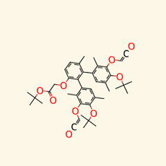 Cc1cc(-c2c(C)ccc(OCC(=O)OC(C)(C)C)c2-c2cc(C)c(OC(C)(C)C)c(OC=C=O)c2C)c(C)c(OC=C=O)c1OC(C)(C)C